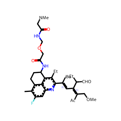 CCc1c(/C(=C/C(=C(/COC)C(C)=O)C(C=O)CC)C(C)CC)nc2cc(F)c(C)c3c2c1C(NC(=O)COCNC(=O)CNC)CC3